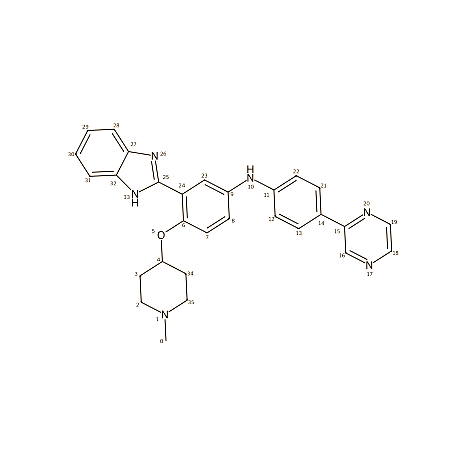 CN1CCC(Oc2ccc(Nc3ccc(-c4cnccn4)cc3)cc2-c2nc3ccccc3[nH]2)CC1